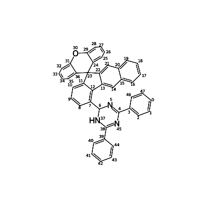 c1ccc(C2=NC(c3cccc4c3-c3cc5ccccc5cc3C43c4ccccc4Oc4ccccc43)NC(c3ccccc3)=N2)cc1